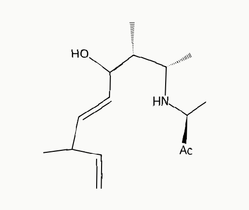 C=CC(C)/C=C/C(O)[C@H](C)[C@H](C)N[C@@H](C)C(C)=O